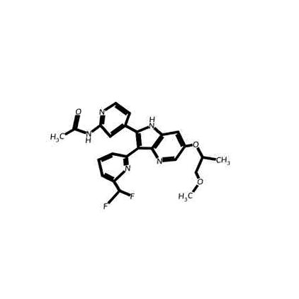 COCC(C)Oc1cnc2c(-c3cccc(C(F)F)n3)c(-c3ccnc(NC(C)=O)c3)[nH]c2c1